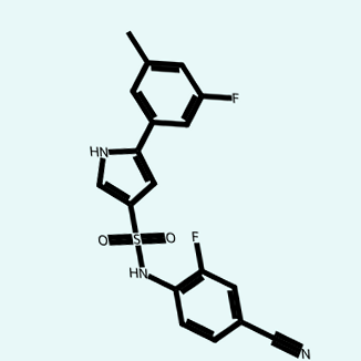 Cc1cc(F)cc(-c2cc(S(=O)(=O)Nc3ccc(C#N)cc3F)c[nH]2)c1